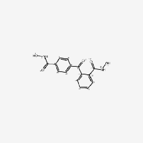 O=C(NO)c1ccc(C(=O)c2ccccc2C(=O)NO)cc1